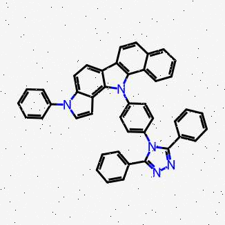 c1ccc(-c2nnc(-c3ccccc3)n2-c2ccc(-n3c4c5ccccc5ccc4c4ccc5c(ccn5-c5ccccc5)c43)cc2)cc1